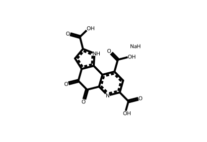 O=C(O)c1cc(C(=O)O)c2c(n1)C(=O)C(=O)c1cc(C(=O)O)[nH]c1-2.[NaH]